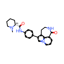 CN1CCCC[C@@H]1C(=O)Nc1ccc(-c2cn3cccc4c3c2CCNC4=O)cc1